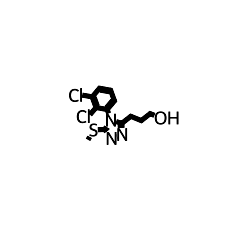 CSc1nnc(CCCO)n1-c1cccc(Cl)c1Cl